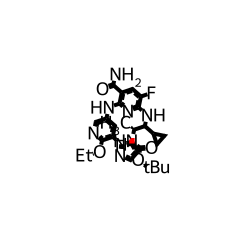 CCOc1ncc(Nc2nc(NC(C3CC3)[C@H](C)NC(=O)OC(C)(C)C)c(F)cc2C(N)=O)cc1-n1cccn1